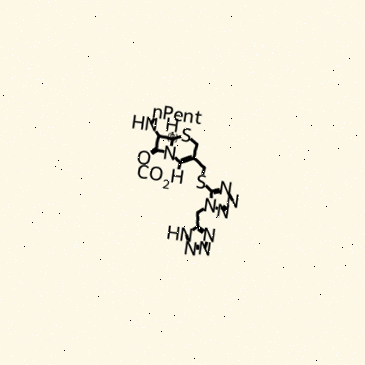 CCCCCNC1C(=O)N2C(C(=O)O)=C(CSc3nnnn3Cc3nnn[nH]3)CS[C@H]12